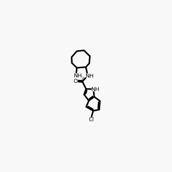 NC1CCCCCCC1NC(=O)c1cc2cc(Cl)ccc2[nH]1